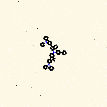 CC1(C)c2cc(N(c3ccc(-c4ccccc4)cc3)c3ccc(-c4ccc5c6ccccc6n(-c6ccccc6)c5c4)c4ccccc34)ccc2-c2ccc(-n3c4ccccc4c4ccccc43)cc21